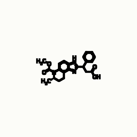 COC(=O)N1c2ccc3[nH]c(C(CC(=O)O)c4ccccc4)nc3c2CC[C@@H]1C